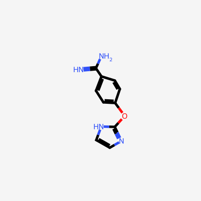 N=C(N)c1ccc(Oc2ncc[nH]2)cc1